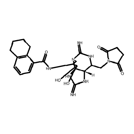 N=C1N[C@H]2C(CN3C(=O)CCC3=O)NC(=N)N3CC(NC(=O)c4cccc5c4CCCC5)C(O)(O)[C@]23N1